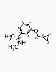 CN[C@H](C)c1cccc(OCC2CC2)c1